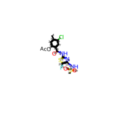 CC(=O)Oc1cc(C)c(Cl)cc1C(=O)Nc1nc(NS(C)(=O)=O)c(F)s1